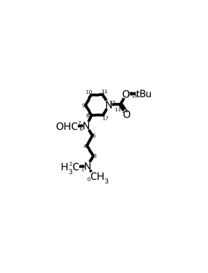 CN(C)CCCN(C=O)C1CCCN(C(=O)OC(C)(C)C)C1